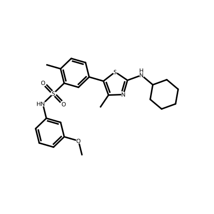 COc1cccc(NS(=O)(=O)c2cc(-c3sc(NC4CCCCC4)nc3C)ccc2C)c1